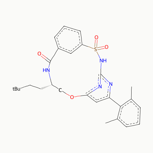 Cc1cccc(C)c1-c1cc2nc(n1)NS(=O)(=O)c1cccc(c1)C(=O)N[C@@H](CCC(C)(C)C)CO2